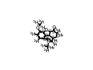 [2H]c1c([2H])c(OC([2H])([2H])[2H])c2c3c1C[C@@H]1[C@@H]4CC([2H])([2H])C(=O)C(O2)[C@]34CCN1C([2H])([2H])[2H]